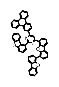 c1ccc2c(c1)oc1c(-c3cccc4c3oc3c(-c5cc(-c6ccc7c8ccccc8c8ccccc8c7c6)nc(-c6cccc7oc8ccccc8c67)n5)cccc34)cccc12